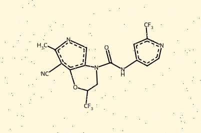 Cc1ncc2c(c1C#N)OC(C(F)(F)F)CN2C(=O)Nc1ccnc(C(F)(F)F)c1